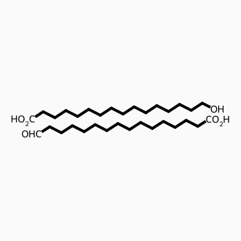 O=C(O)CCCCCCCCCCCCCCCO.O=CCCCCCCCCCCCCCCC(=O)O